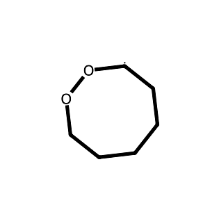 [CH]1CCCCCOO1